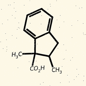 CC1Cc2ccccc2C1(C)C(=O)O